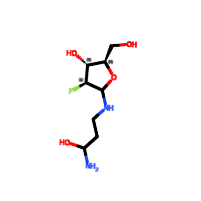 NC(O)CCNC1O[C@H](CO)[C@@H](O)[C@@H]1F